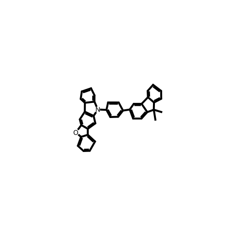 CC1(C)c2ccccc2-c2cc(-c3ccc(-n4c5ccccc5c5cc6oc7ccccc7c6cc54)cc3)ccc21